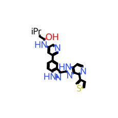 CC(C)CC(O)Nc1cncc(-c2ccc3[nH]nc(-c4nc5c(-c6ccsc6)nccc5[nH]4)c3c2)c1